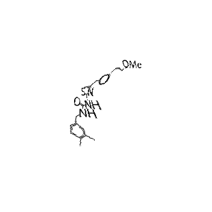 COCCOCc1csc(NC(=O)NCc2ccc(C)c(C)c2)n1